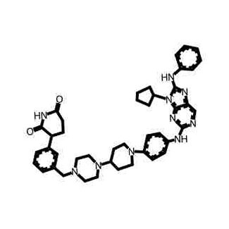 O=C1CCC(c2cccc(CN3CCN(C4CCN(c5ccc(Nc6ncc7nc(Nc8ccccc8)n(C8CCCC8)c7n6)cc5)CC4)CC3)c2)C(=O)N1